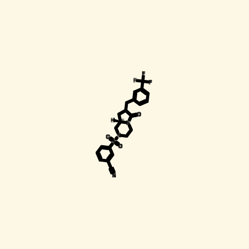 N#Cc1cccc(S(=O)(=O)N2CCN3C(=O)C(Cc4cccc(C(F)(F)F)c4)C[C@H]3C2)c1